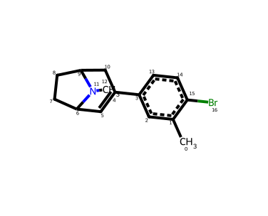 Cc1cc(C2=CC3CCC(C2)N3C)ccc1Br